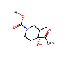 COC(=O)[C@@]1(O)CCN(C(=O)OC(C)(C)C)CC1C